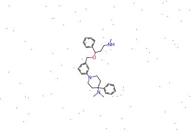 CNCCC(OCc1cccc(N2CCC(c3ccccc3)(N(C)C)CC2)c1)c1ccccc1